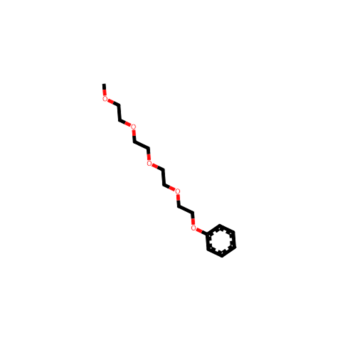 COCCOCCOCCOCCOc1cc[c]cc1